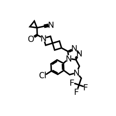 N#CC1(C(=O)N2CC3(CC(c4nnc5n4-c4ccc(Cl)cc4CN(CC(F)(F)F)C5)C3)C2)CC1